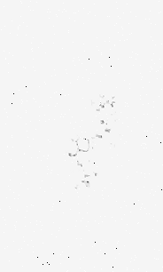 O=C1CCC(N2Cc3cc(O[C@H]4CCC[C@H]4N4CCC(O)(C(F)(F)F)CC4)ccc3C2=O)C(=O)N1